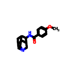 COc1ccc(C(=O)NC2C3CC4CC2CN(C4)C3)cc1